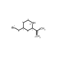 C=C(C)C1CC(CC(C)CC)CCN1